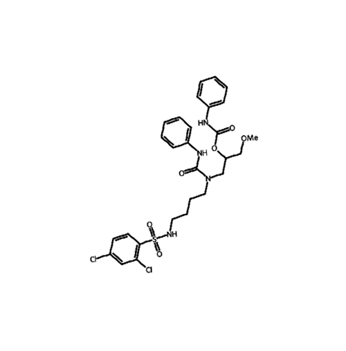 COCC(CN(CCCCNS(=O)(=O)c1ccc(Cl)cc1Cl)C(=O)Nc1ccccc1)OC(=O)Nc1ccccc1